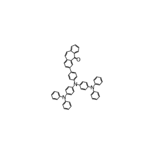 O=c1c2ccccc2ccc2ccc(-c3ccc(N(c4ccc(N(c5ccccc5)c5ccccc5)cc4)c4ccc(N(c5ccccc5)c5ccccc5)cc4)cc3)cc12